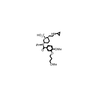 COCCCOc1cc(C(=O)N(C(C)C)[C@@H]2CC[C@H](CCNC3CC3)N(C(=O)O)C2)ccc1OC